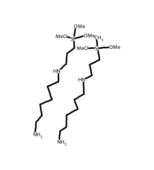 CO[Si](C)(CCCNCCCCCCN)OC.CO[Si](CCCNCCCCCCN)(OC)OC